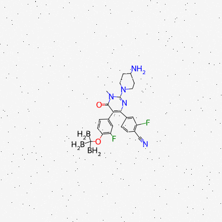 BC(B)(B)Oc1ccc(-c2c(-c3ccc(C#N)c(F)c3)nc(N3CCC(N)CC3)n(C)c2=O)cc1F